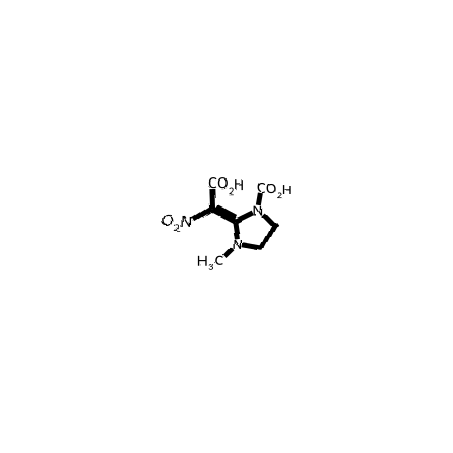 CN1CCN(C(=O)O)C1=C(C(=O)O)[N+](=O)[O-]